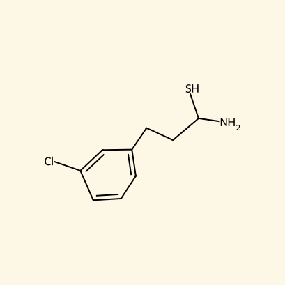 NC(S)CCc1cccc(Cl)c1